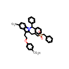 O=C(O)c1ccc(OCCc2c(CCCS(=O)(=O)Cc3ccccc3)n(C(c3ccccc3)c3ccccc3)c3ccc([N+](=O)[O-])cc23)cc1